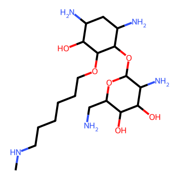 CNCCCCCCOC1C(O)C(N)CC(N)C1OC1OC(CN)C(O)C(O)C1N